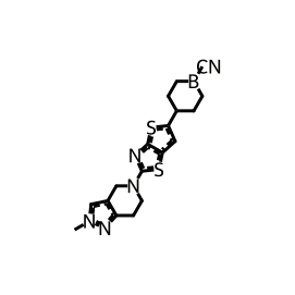 Cn1cc2c(n1)CCN(c1nc3sc(C4CCB(C#N)CC4)cc3s1)C2